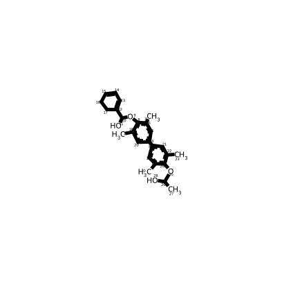 Cc1cc(-c2cc(C)c(OC(O)C3=CC=CCC3)c(C)c2)cc(C)c1OC(C)O